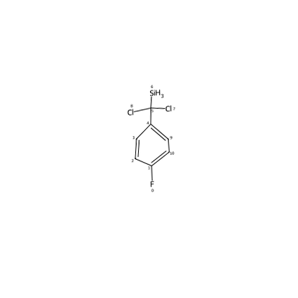 Fc1ccc(C([SiH3])(Cl)Cl)cc1